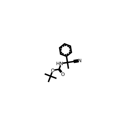 CC(C)(C)OC(=O)NC(C)(C#N)c1ccccc1